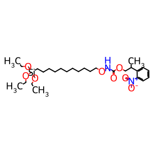 CCO[Si](CCCCCCCCCCCONC(=O)OCC(C)c1ccccc1[N+](=O)[O-])(OCC)OCC